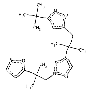 CC(C)(C)c1cc(CC(C)(C)c2co[n+](CC(C)(C)c3ccno3)c2)on1